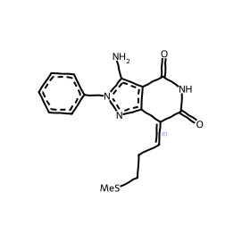 CSCC/C=C1/C(=O)NC(=O)c2c1nn(-c1ccccc1)c2N